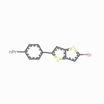 CCCc1ccc(-c2cc3sc(Br)cc3s2)cc1